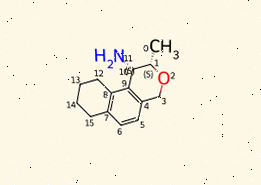 C[C@@H]1OCc2ccc3c(c2[C@@H]1N)CCCC3